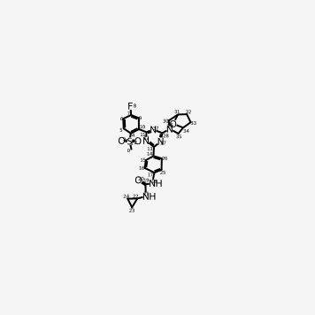 CS(=O)(=O)c1ccc(F)cc1-c1nc(-c2ccc(NC(=O)NC3CC3)cc2)nc(N2CC3CCC(C2)O3)n1